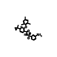 Cc1cc(C)c(Oc2nc(C3(C)CC3)ccc2C(=O)NS(=O)(=O)c2cccc(N)c2)c(C)c1